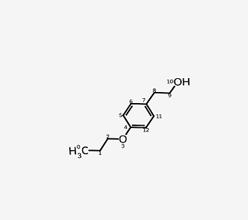 CCCOc1ccc(CCO)cc1